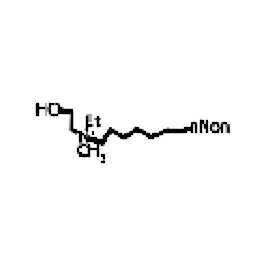 CCCCCCCCCCCCCCCC[N+](C)(CC)CCO